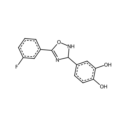 Oc1ccc(C2N=C(c3cccc(F)c3)ON2)cc1O